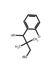 CCCC(c1ccccc1[O])C(C)(C)CC(C)(C)C